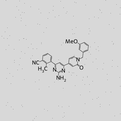 COc1cccc(Cn2ccc(-c3cc(-c4cccc(C#N)c4C)nc(N)n3)cc2=O)c1